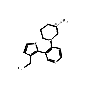 CCc1ccsc1-c1cnccc1N1CCC[C@H](N)C1